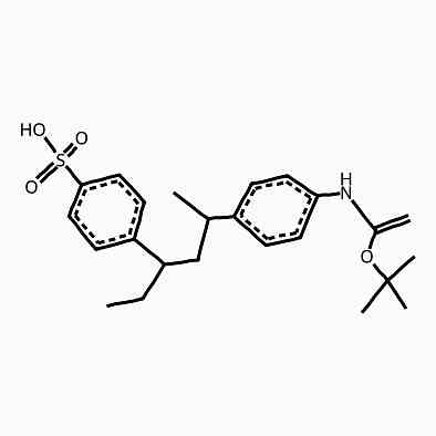 C=C(Nc1ccc(C(C)CC(CC)c2ccc(S(=O)(=O)O)cc2)cc1)OC(C)(C)C